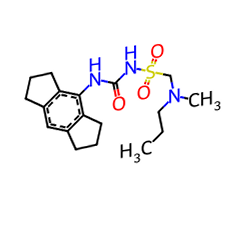 CCCN(C)CS(=O)(=O)NC(=O)Nc1c2c(cc3c1CCC3)CCC2